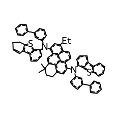 CCc1cc(N(c2cccc(-c3ccccc3)c2)c2cccc3c4c(sc23)CCC=C4)c2cc3c4c(cc(N(c5cccc(-c6ccccc6)c5)c5cccc6c5sc5ccccc56)c5ccc1c2c54)CCC3(C)C